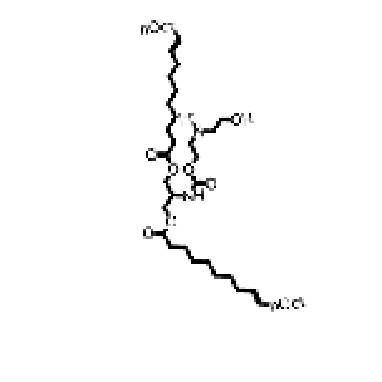 CCCCCCCCC=CCCCCCCCC(=O)OCC(COC(=O)CCCCCCCC=CCCCCCCCC)NC(=O)OCCN(CC)CCO